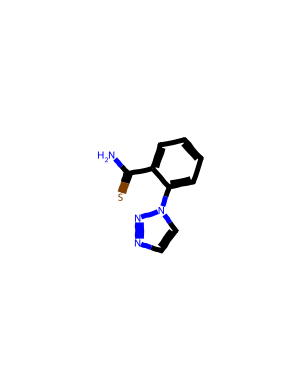 NC(=S)c1ccccc1-n1ccnn1